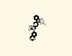 CN(C)[C@]1(c2ccccc2)CC[C@]2(CC1)CN(c1ccc3ncncc3c1)C(=O)N2